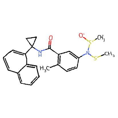 CSN(c1ccc(C)c(C(=O)NC2(c3cccc4ccccc34)CC2)c1)[S+](C)[O-]